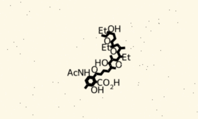 CCC(C(=O)C(C)C(O)C(C)CCCC(=O)c1c(NC(C)=O)cc(C)c(O)c1C(=O)O)C1OC(CC)(C2CCC(O)(CC)C(C)O2)CC1C